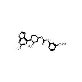 COc1cccc(NC(=O)ON2CCN(c3nc(N)nc4scnc34)C(C)C2)c1